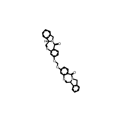 O=C1c2ccc(OCOc3ccc4c(c3)N=C[C@@H]3c5ccccc5CN3C4=O)cc2N=CC2c3ccccc3CN12